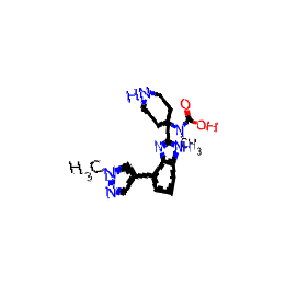 CN(C(=O)O)C1(c2nc3c(-c4cnn(C)c4)cccc3[nH]2)CCNCC1